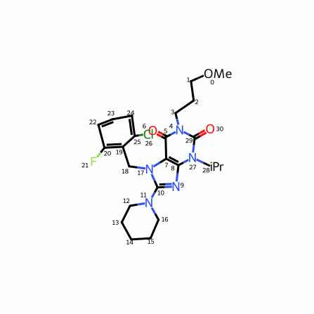 COCCCn1c(=O)c2c(nc(N3CCCCC3)n2Cc2c(F)cccc2Cl)n(C(C)C)c1=O